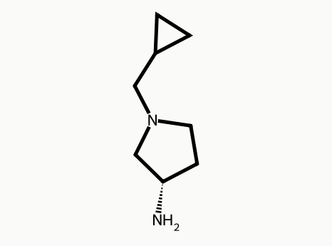 N[C@H]1CCN(CC2CC2)C1